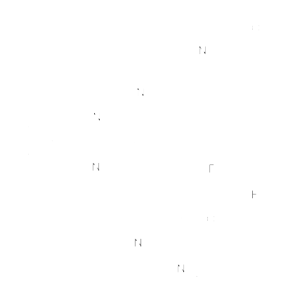 Nc1ncc(-c2cc(N3CCC(N4CCOCC4)C3)nc(C3CC3)n2)cc1OC(F)F